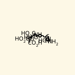 Nc1nc(O)c2c(CCc3ccc(C(=O)N[C@@H](CCC(=O)N[C@@H](CCC(=O)O)C(=O)O)C(=O)O)cc3)csc2n1